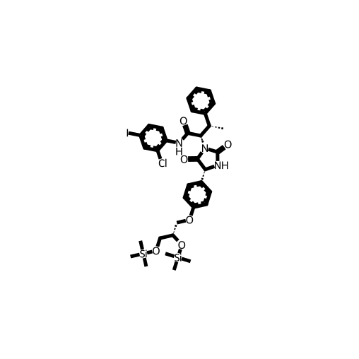 C[C@@H](c1ccccc1)[C@@H](C(=O)Nc1ccc(I)cc1Cl)N1C(=O)N[C@H](c2ccc(OC[C@@H](CO[Si](C)(C)C)O[Si](C)(C)C)cc2)C1=O